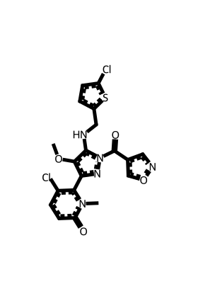 COc1c(-c2c(Cl)ccc(=O)n2C)nn(C(=O)c2cnoc2)c1NCc1ccc(Cl)s1